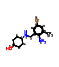 Nc1c(CN[C@H]2CC[C@H](O)CC2)cc(Br)cc1C(F)(F)F